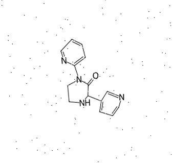 O=C1C(c2cccnc2)NCCN1c1ccccn1